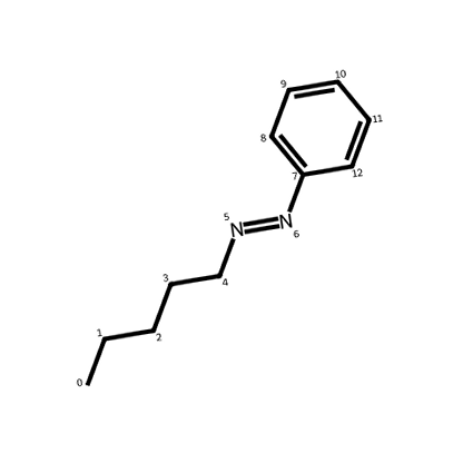 CCCCCN=Nc1ccccc1